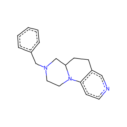 c1ccc(CN2CCN3c4ccncc4CCC3C2)cc1